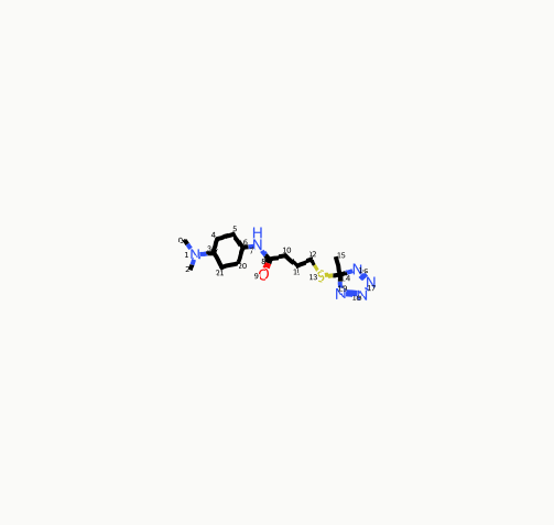 CN(C)C1CCC(NC(=O)CCCSC2(C)N=NN=N2)CC1